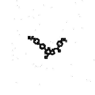 CN1CCN(C(=O)CN2CCc3c(Cl)nc(-c4ccc(N5CCN(C)CC5)cc4)nc32)CC1